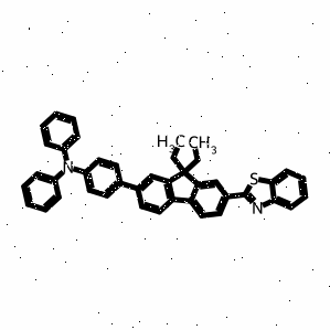 CCC1(CC)c2cc(-c3ccc(N(c4ccccc4)c4ccccc4)cc3)ccc2-c2ccc(-c3nc4ccccc4s3)cc21